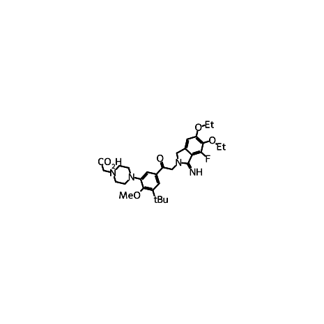 CCOc1cc2c(c(F)c1OCC)C(=N)N(CC(=O)c1cc(N3CCN(CC(=O)O)CC3)c(OC)c(C(C)(C)C)c1)C2